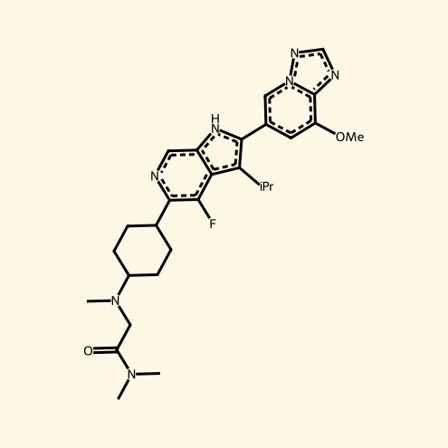 COc1cc(-c2[nH]c3cnc(C4CCC(N(C)CC(=O)N(C)C)CC4)c(F)c3c2C(C)C)cn2ncnc12